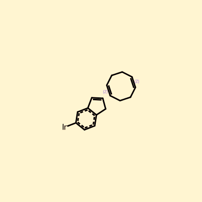 C1=C\CC/C=C\CC/1.[Ir][c]1ccc2c(c1)C=CC2